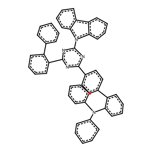 c1ccc(-c2ccccc2-c2nc(-c3ccc(-c4ccccc4N(c4ccccc4)c4ccccc4)cc3)nc(-n3c4ccccc4c4ccccc43)n2)cc1